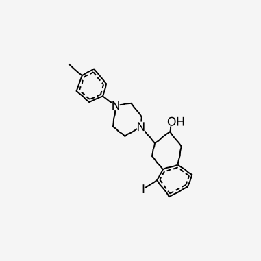 Cc1ccc(N2CCN(C3Cc4c(I)cccc4CC3O)CC2)cc1